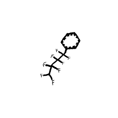 F[C](F)C(F)(F)C(F)(F)C(F)(F)c1ccccc1